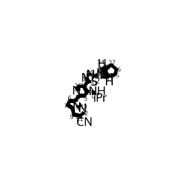 CC(C)Nc1cc(-c2ccc3cc(C#N)cnn23)ncc1-c1nnc(N2C[C@H]3CCC[C@@H](C2)[C@@H]3N)s1